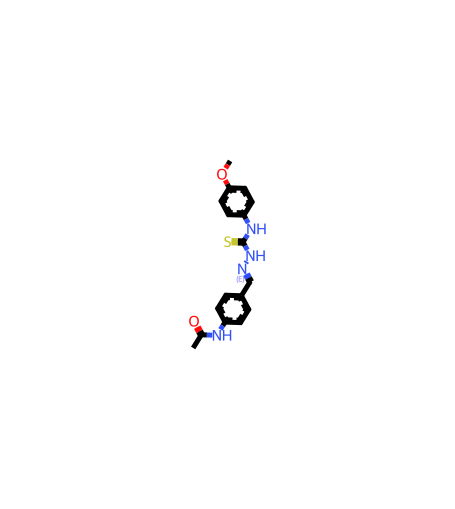 COc1ccc(NC(=S)N/N=C/c2ccc(NC(C)=O)cc2)cc1